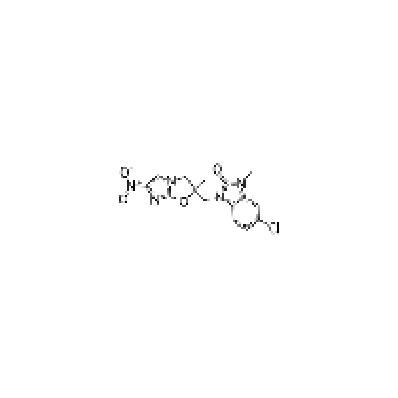 Cn1c(=O)n(CC2(C)Cn3cc([N+](=O)[O-])nc3O2)c2ccc(Cl)cc21